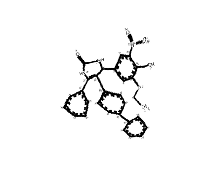 CCOc1cc(C2NC(=O)NC(c3ccccc3)=C2c2ccc(-c3ccccc3)cc2)cc([N+](=O)[O-])c1O